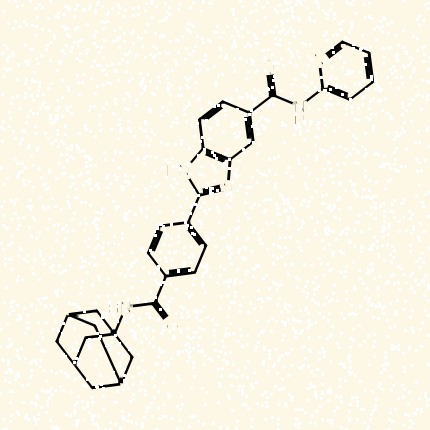 O=C(Nc1ccccn1)c1ccc2[nH]c(-c3ccc(C(=O)NC45CC6CC(CC(C6)C4)C5)cc3)nc2c1